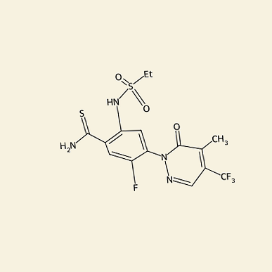 CCS(=O)(=O)Nc1cc(-n2ncc(C(F)(F)F)c(C)c2=O)c(F)cc1C(N)=S